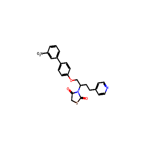 O=C1CSC(=O)N1C(CCc1ccncc1)COc1ccc(-c2cccc([N+](=O)[O-])c2)cc1